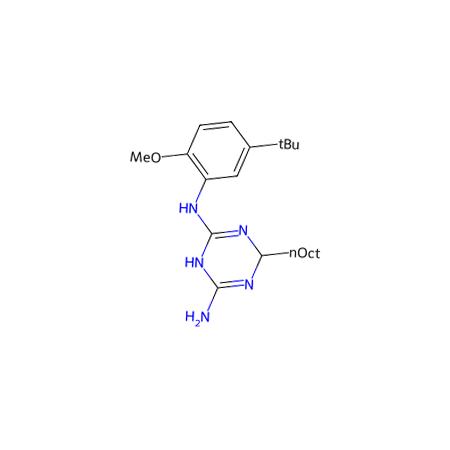 CCCCCCCCC1N=C(N)NC(Nc2cc(C(C)(C)C)ccc2OC)=N1